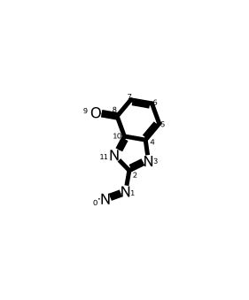 [N]=NC1=NC2=CC=CC(=O)C2=N1